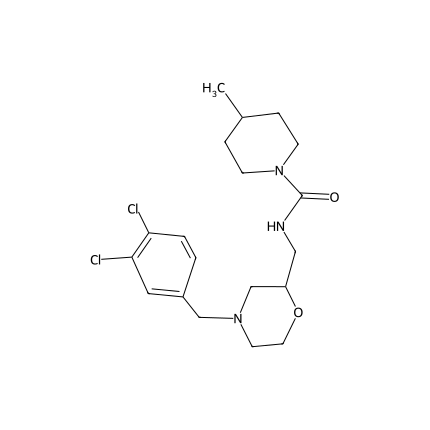 CC1CCN(C(=O)NCC2CN(Cc3ccc(Cl)c(Cl)c3)CCO2)CC1